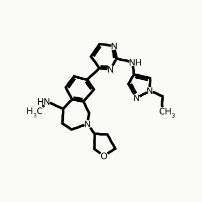 CCn1cc(Nc2nccc(-c3ccc4c(c3)CN(C3CCOC3)CCC4NC)n2)cn1